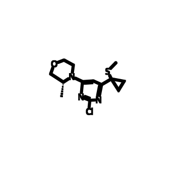 CSC1(c2cc(N3CCOC[C@H]3C)nc(Cl)n2)CC1